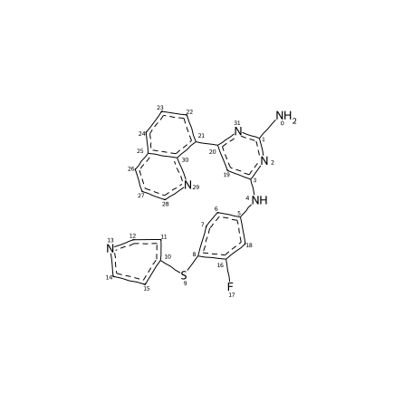 Nc1nc(Nc2ccc(Sc3ccncc3)c(F)c2)cc(-c2cccc3cccnc23)n1